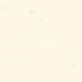 COC(=O)C1=C(C)NC(C)=C(C(=O)OC/C=C/c2ccc(Cn3ccnc3)cc2)C1c1cccc(OC/C=C/c2ccccc2)c1